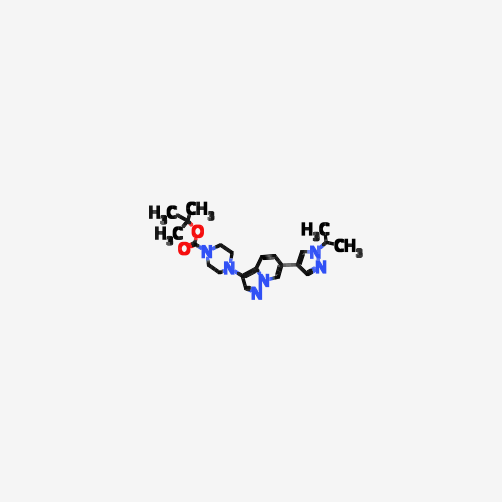 CC(C)n1cc(-c2ccc3c(N4CCN(C(=O)OC(C)(C)C)CC4)cnn3c2)cn1